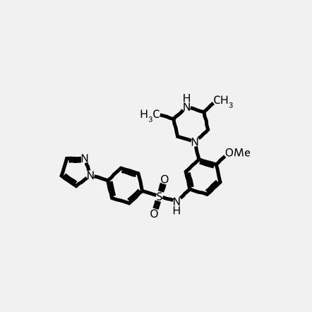 COc1ccc(NS(=O)(=O)c2ccc(-n3cccn3)cc2)cc1N1CC(C)NC(C)C1